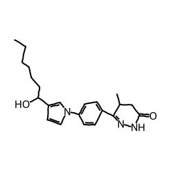 CCCCCCC(O)c1ccn(-c2ccc(C3=NNC(=O)CC3C)cc2)c1